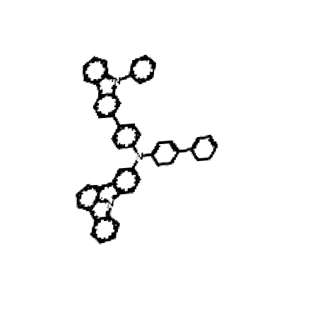 C1=CCCC(C2=CC=C(N(c3ccc(-c4ccc5c6ccccc6n(-c6ccccc6)c5c4)cc3)c3ccc4c(c3)c3cccc5c6ccccc6n4c53)CC2)=C1